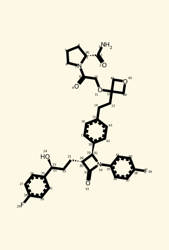 NC(=O)[C@H]1CCCN1C(=O)COC1(CCc2ccc([C@@H]3[C@@H](CC[C@H](O)c4ccc(F)cc4)C(=O)N3c3ccc(F)cc3)cc2)COC1